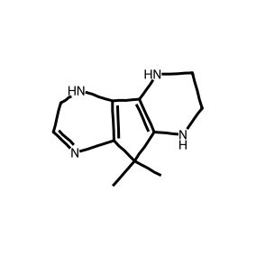 CC1(C)C2=C(NCC=N2)C2=C1NCCN2